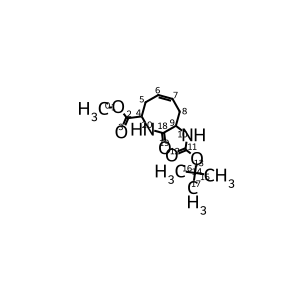 COC(=O)C1C/C=C\CC(NC(=O)OC(C)(C)C)C(=O)N1